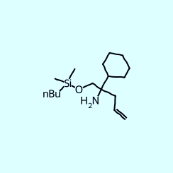 C=CCC(N)(CO[Si](C)(C)CCCC)C1CCCCC1